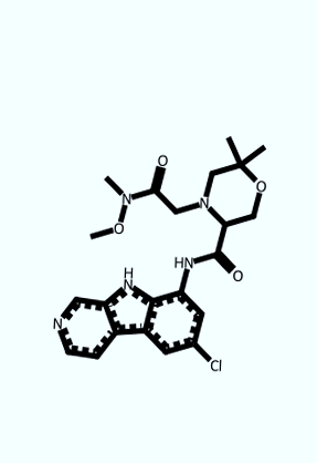 CON(C)C(=O)CN1CC(C)(C)OCC1C(=O)Nc1cc(Cl)cc2c1[nH]c1cnccc12